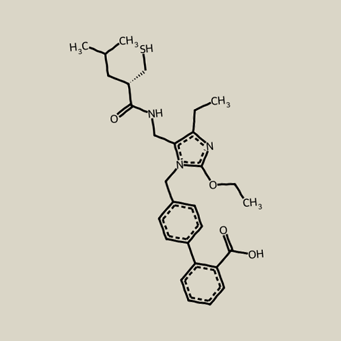 CCOc1nc(CC)c(CNC(=O)[C@@H](CS)CC(C)C)n1Cc1ccc(-c2ccccc2C(=O)O)cc1